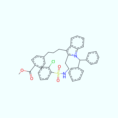 COC(=O)c1ccc(CCCc2c(CCNS(=O)(=O)c3ccccc3Cl)n(C(c3ccccc3)c3ccccc3)c3ccccc23)cc1